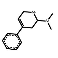 CN(C)C1CC(c2ccccc2)=CC[N]1